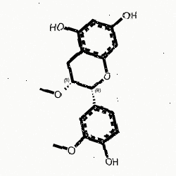 COc1cc([C@H]2Oc3cc(O)cc(O)c3C[C@H]2OC)ccc1O